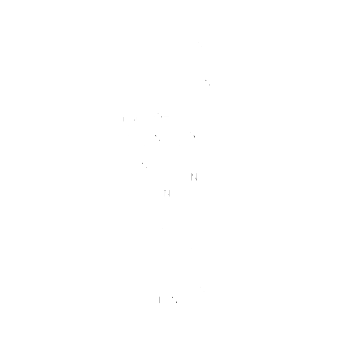 CCCCOC1=Nc2c(ncn2Cc2ccc(C(N)=O)cc2)C(NCCN2CCOCC2)N1O